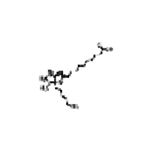 CCCCCCC(OC(=O)CCCCCCCCCC(=O)O)(C(C)C)C(C)C